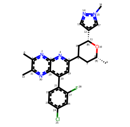 Cc1nc2nc(C3C[C@@H](C)O[C@@H](c4cnn(C)c4)C3)cc(-c3ccc(Cl)cc3F)c2nc1C